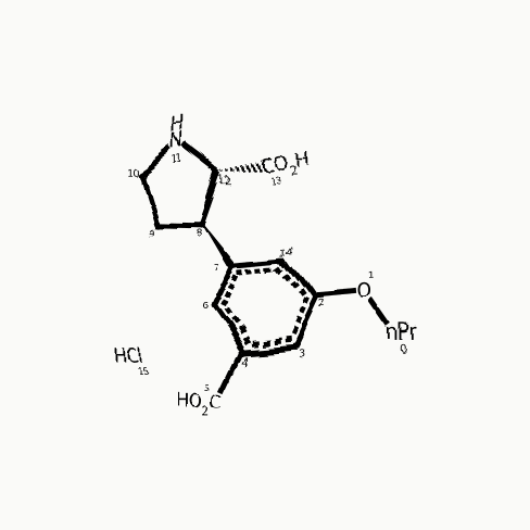 CCCOc1cc(C(=O)O)cc([C@H]2CCN[C@@H]2C(=O)O)c1.Cl